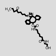 CCCC(=O)CCCCCn1nnc2c1-c1ccccc1C(OC(=O)NCCCCCC(=O)NCCO)CC1C=CC=CC21